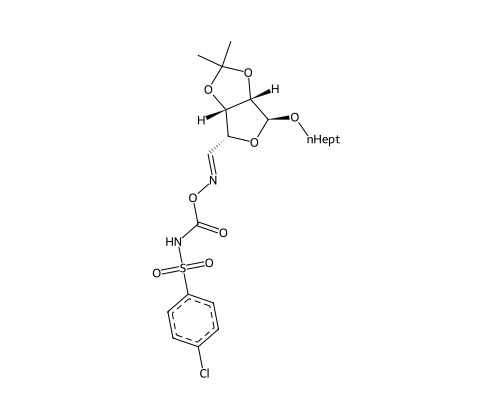 CCCCCCCO[C@H]1O[C@H](/C=N/OC(=O)NS(=O)(=O)c2ccc(Cl)cc2)[C@@H]2OC(C)(C)O[C@H]12